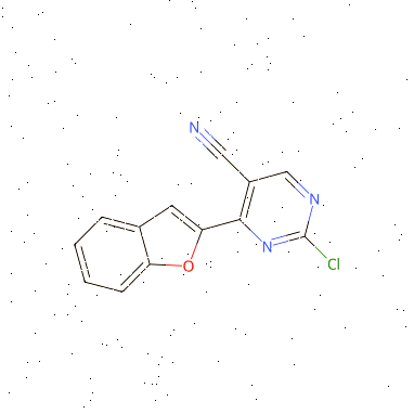 N#Cc1cnc(Cl)nc1-c1cc2ccccc2o1